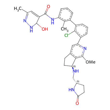 COc1nc(-c2cccc(-c3cccc(NC(=O)C4=CC(C)=NNC4O)c3C)c2Cl)cc2c1[C@@H](NC[C@@H]1CCC(=O)N1)CC2